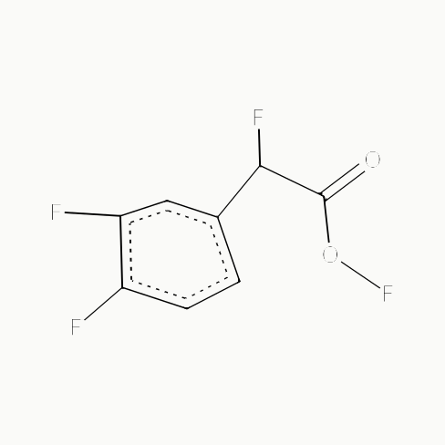 O=C(OF)C(F)c1ccc(F)c(F)c1